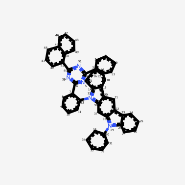 c1ccc(-c2nc(-c3ccccc3-n3c4ccccc4c4cc5c6ccccc6n(-c6ccccc6)c5cc43)nc(-c3cccc4ccccc34)n2)cc1